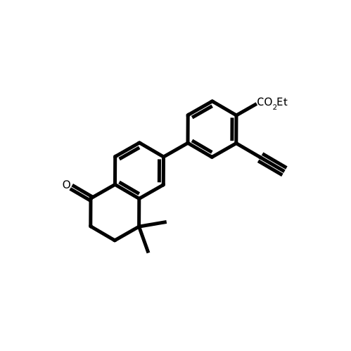 C#Cc1cc(-c2ccc3c(c2)C(C)(C)CCC3=O)ccc1C(=O)OCC